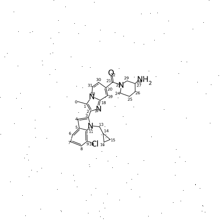 Cc1c(-c2cc3cccc(Cl)c3n2CC2CC2)nc2cc(C(=O)N3CCCC(N)C3)ccn12